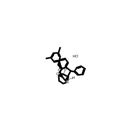 Cc1cc(C)cc(CO[C@@H]2C3CCN(CC3)[C@@H]2C(c2ccccc2)c2ccccc2Cl)c1.Cl